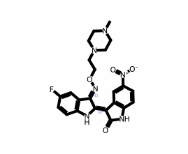 CN1CCN(CCO/N=C2/C(=C3/C(=O)Nc4ccc([N+](=O)[O-])cc43)Nc3ccc(F)cc32)CC1